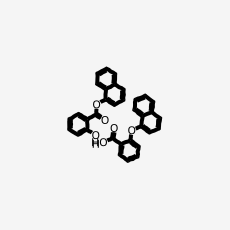 O=C(O)c1ccccc1Oc1cccc2ccccc12.O=C(Oc1cccc2ccccc12)c1ccccc1O